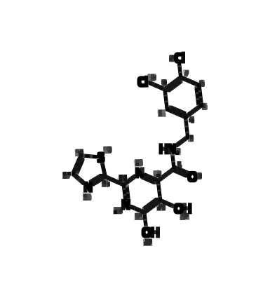 O=C(NCc1ccc(Cl)c(Cl)c1)c1nc(-c2nccs2)nc(O)c1O